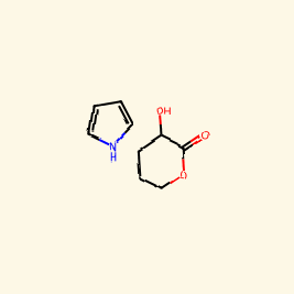 O=C1OCCCC1O.c1cc[nH]c1